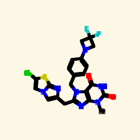 CCn1c(=O)[nH]c(=O)c2c1nc(Cc1cn3cc(Cl)sc3n1)n2Cc1ccc(N2CC(F)(F)C2)cc1